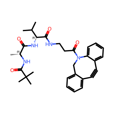 CC(C)[C@@H](NC(=O)[C@@H](C)NC(=O)C(C)(C)C)C(=O)NCCC(=O)N1Cc2ccccc2C#Cc2ccccc21